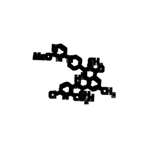 COc1nccc(N2CCC(c3nc4c([C@@H](C)Nc5ccc(Cl)nc5C(=O)O)cc(C)cc4c(=O)n3C)CC2)n1